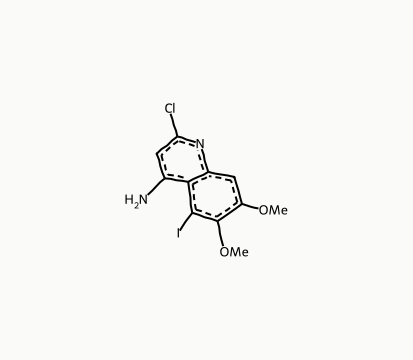 COc1cc2nc(Cl)cc(N)c2c(I)c1OC